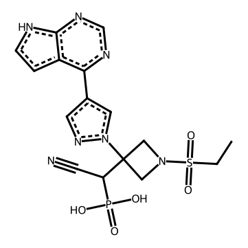 CCS(=O)(=O)N1CC(C(C#N)P(=O)(O)O)(n2cc(-c3ncnc4[nH]ccc34)cn2)C1